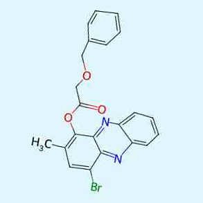 Cc1cc(Br)c2nc3ccccc3nc2c1OC(=O)COCc1ccccc1